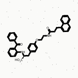 O=C(CCc1cccc2ccccc12)NCCOc1ccc(C[C@H](Nc2ccccc2C(=O)c2ccccc2)C(=O)O)cc1